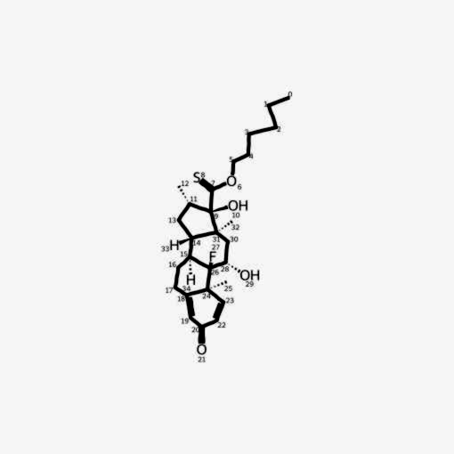 CCCCCCOC(=S)[C@@]1(O)[C@@H](C)C[C@H]2[C@@H]3CCC4=CC(=O)C=C[C@]4(C)[C@@]3(F)[C@@H](O)C[C@@]21C